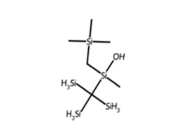 C[Si](C)(C)C[Si](C)(O)C([SiH3])([SiH3])[SiH3]